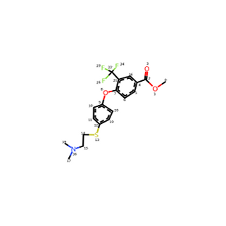 COC(=O)c1ccc(Oc2ccc(SCCN(C)C)cc2)c(C(F)(F)F)c1